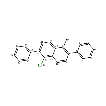 Cc1c(-c2ccccc2)ccc2c(Cl)c(-c3ccccc3)ccc12